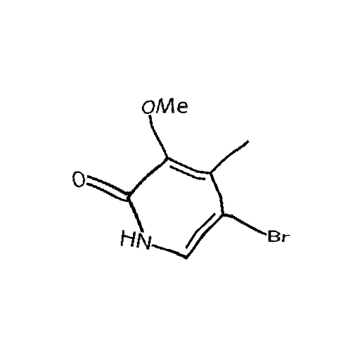 COc1c(C)c(Br)c[nH]c1=O